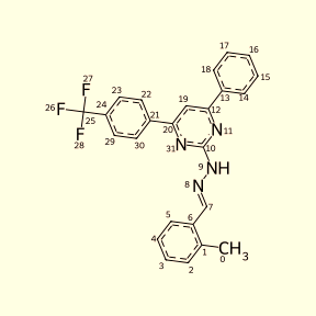 Cc1ccccc1/C=N/Nc1nc(-c2ccccc2)cc(-c2ccc(C(F)(F)F)cc2)n1